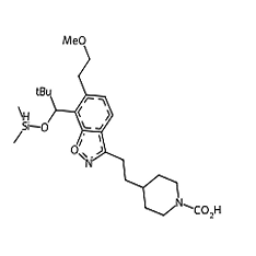 COCCc1ccc2c(CCC3CCN(C(=O)O)CC3)noc2c1C(O[SiH](C)C)C(C)(C)C